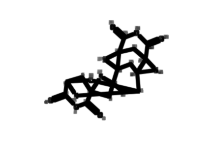 O=C1OC(=O)C23CC14CC1(CC(C2)(S3)C23CC15SC51CC2(S3)C(=O)OC1=O)S4